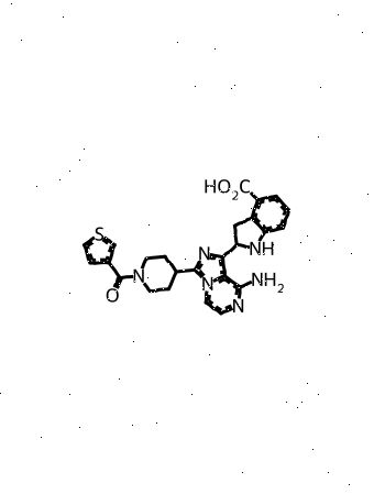 Nc1nccn2c(C3CCN(C(=O)c4ccsc4)CC3)nc(C3Cc4c(cccc4C(=O)O)N3)c12